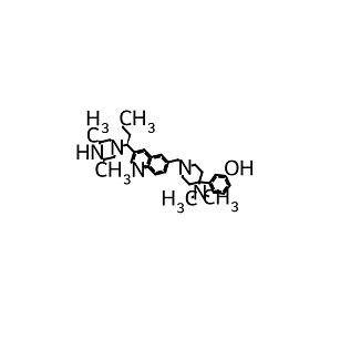 CCC[C@@H](c1cnc2ccc(CN3CCC(c4cccc(O)c4)(N(C)C)CC3)cc2c1)N1C[C@@H](C)N[C@@H](C)C1